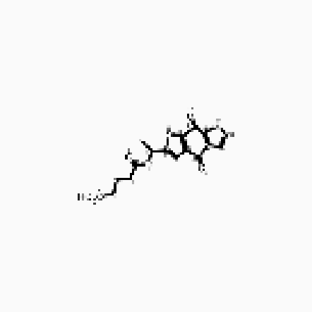 CC(OC(=O)CCCC(=O)O)c1cc2c(s1)C(=O)c1sccc1C2=O